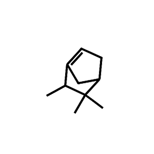 CC1C2=CCC(C2)C1(C)C